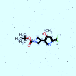 COc1cc(C(F)F)ncc1C1CN(C(=O)OC(C)(C)C)C1